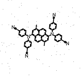 Cc1cc(N(c2ccc(C#N)cc2)c2ccc(C#N)cc2)c2ccc3c(C)cc(N(c4ccc(C#N)cc4)c4ccc(C#N)cc4)c4ccc1c2c34